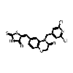 O=C1NC(=S)S/C1=C/c1ccc2c(c1)N(Cc1cc(Cl)nc(Cl)c1)C(=O)CO2